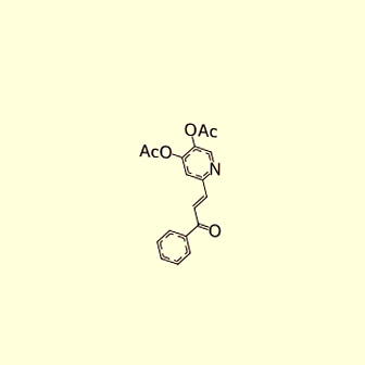 CC(=O)Oc1cnc(C=CC(=O)c2ccccc2)cc1OC(C)=O